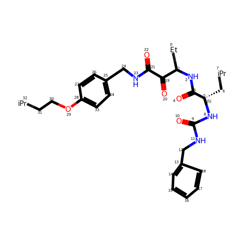 CCC(NC(=O)[C@H](CC(C)C)NC(=O)NCc1ccccc1)C(=O)C(=O)NCc1ccc(OCCC(C)C)cc1